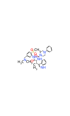 C[C@@H](c1c[nH]c2ccccc12)[C@@H](NC(=O)N1CCN(c2ccccc2)CC1)C(=O)Nc1cc(CN(C)C)ccc1S(C)(=O)=O